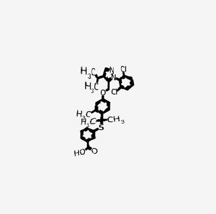 Cc1cc(OCc2c(C(C)C)cnn2-c2c(Cl)cccc2Cl)ccc1C(C)(C)Sc1cccc(C(=O)O)c1